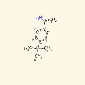 C=C(N)c1ccc(C(C)(C)C)cc1